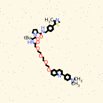 Cc1ncsc1-c1ccc(CNC(=O)[C@@H]2CCCN2C(=O)C(NC(=O)COCCOCCOCCOc2ccc3nc(-c4ccc(N(C)C)cc4)ccc3c2)C(C)(C)C)cc1